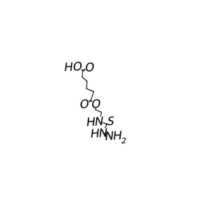 NNC(=S)NCCOC(=O)CCCCC(=O)O